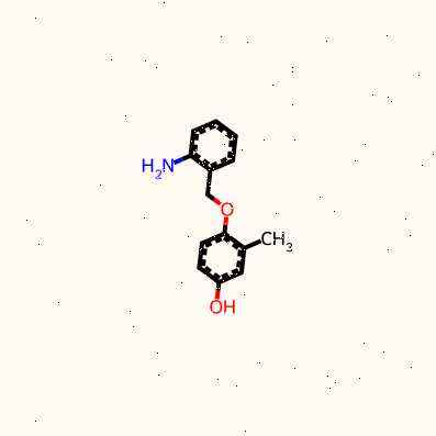 Cc1cc(O)ccc1OCc1ccccc1N